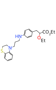 CCOC(=O)C(Cc1ccc(NCCCN2CCSc3ccccc32)cc1)OCC